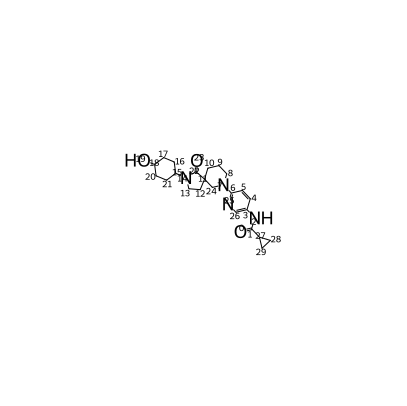 O=C(Nc1ccc(N2CCCC3(CCN(C4CCC(O)CC4)C3=O)C2)nc1)C1CC1